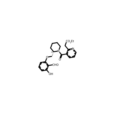 CCOC(=O)Cc1ncccc1C(=O)N1CCCC[C@H]1COc1cccc(O)c1C=O